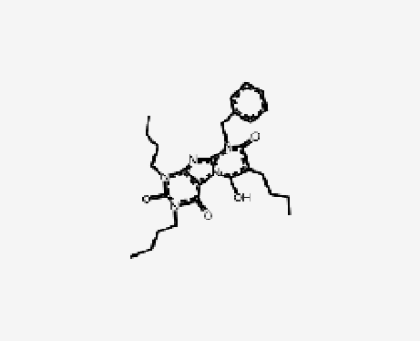 CCCCc1c(O)n2c3c(=O)n(CCCC)c(=O)n(CCCC)c3nc2n(Cc2ccccc2)c1=O